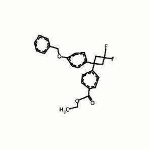 CCOC(=O)c1ccc(C2(c3ccc(OCc4ccccc4)cc3)CC(F)(F)C2)cc1